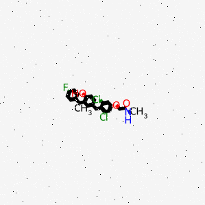 CNC(=O)COc1cc(Cl)c(Cc2ccc(O)c(C(C)c3ccc(F)cc3)c2)c(Cl)c1